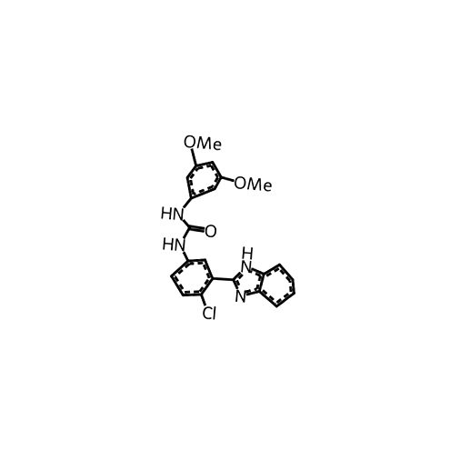 COc1cc(NC(=O)Nc2ccc(Cl)c(-c3nc4ccccc4[nH]3)c2)cc(OC)c1